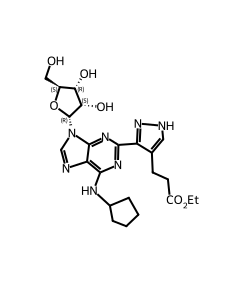 CCOC(=O)CCc1c[nH]nc1-c1nc(NC2CCCC2)c2ncn([C@@H]3O[C@@H](CO)[C@H](O)[C@@H]3O)c2n1